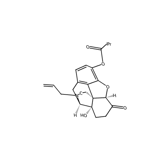 C=CCN1CC[C@]23c4c5ccc(OC(=O)C(C)C)c4O[C@H]2C(=O)CC[C@@]3(O)[C@H]1C5